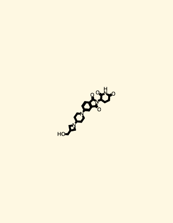 O=C1CCC(N2C(=O)c3ccc(N4CCC(N5CC(CO)C5)CC4)cc3C2=O)C(=O)N1